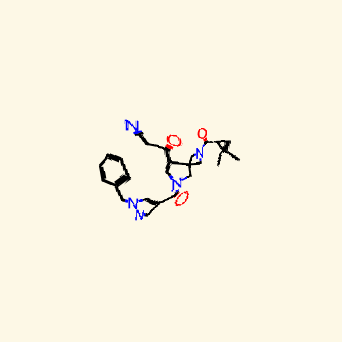 CC1(C)C[C@@H]1C(=O)N1CC2(CN(C(=O)c3cnn(Cc4ccccc4)c3)CC2C(=O)CC#N)C1